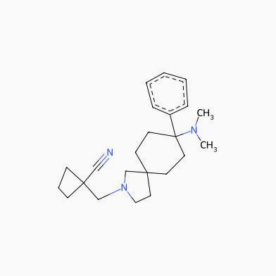 CN(C)C1(c2ccccc2)CCC2(CCN(CC3(C#N)CCC3)C2)CC1